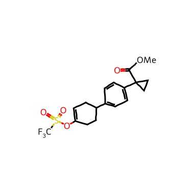 COC(=O)C1(c2ccc(C3CC=C(OS(=O)(=O)C(F)(F)F)CC3)cc2)CC1